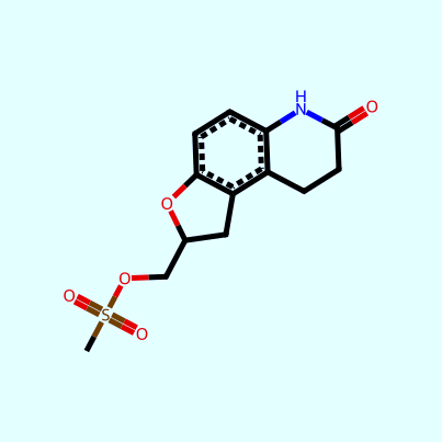 CS(=O)(=O)OCC1Cc2c(ccc3c2CCC(=O)N3)O1